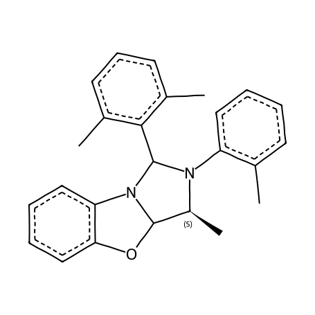 Cc1ccccc1N1C(c2c(C)cccc2C)N2c3ccccc3OC2[C@@H]1C